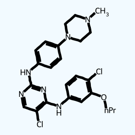 CCCOc1cc(Nc2nc(Nc3ccc(N4CCN(C)CC4)cc3)ncc2Cl)ccc1Cl